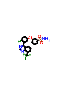 NS(=O)(=O)c1cccc(Oc2ccc(F)c(-c3ncnc4c(C(F)(F)F)cccc34)c2)c1